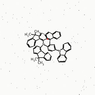 CC1(C)c2ccccc2-c2c(N(c3ccc(-n4c5ccccc5c5ccccc54)cc3-c3cccc4ccccc34)c3cccc4c3-c3ccccc3C4(C)C)cccc21